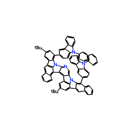 CC(C)(C)c1cc(-c2ccc3c(c2)c2ccccc2n3-c2ccccc2)c2c(c1)c1cc3ccccc3c3c4c5c6cc(C(C)(C)C)cc7c8cc9ccccc9c(-c9ccc%10c(c9)c9ccccc9n%10-c9ccccc9)c8n(c5cnc4n2c13)c76